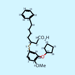 COc1ccc(SC(CCCCc2ccccc2)CC(=O)O)cc1OC1CCCC1